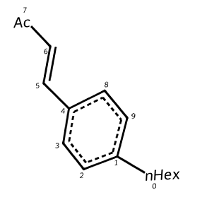 CCCCCCc1ccc(/C=C/C(C)=O)cc1